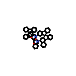 c1ccc(N(c2ccccc2)c2ccc3c(c2)C2(c4ccccc4-3)c3ccccc3-c3c2cc(N(c2ccccc2)c2ccc4c(c2)-c2ccccc2C42c4ccccc4-c4ccccc42)c2ccccc32)cc1